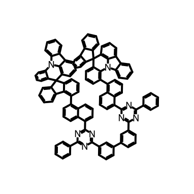 c1ccc(-c2nc(-c3cccc(-c4cccc(-c5nc(-c6ccccc6)nc(-c6cccc7c(-c8cccc9c8-n8c%10ccccc%10c%10cccc(c%108)C98c9ccccc9-c9ccccc98)cccc67)n5)c4)c3)nc(-c3cccc4c(-c5cccc6c5-c5ccccc5C65c6ccccc6-n6c7ccccc7c7cccc5c76)cccc34)n2)cc1